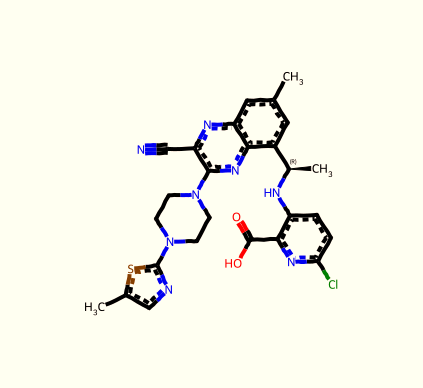 Cc1cc([C@@H](C)Nc2ccc(Cl)nc2C(=O)O)c2nc(N3CCN(c4ncc(C)s4)CC3)c(C#N)nc2c1